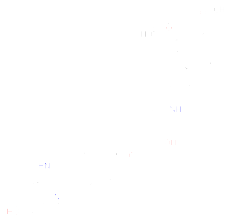 COc1ccc(CCNC[C@H](O)COc2ccc(-c3nc(CO)c[nH]3)cc2)cc1OC